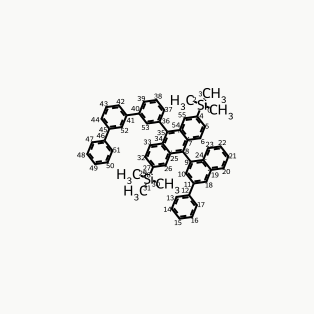 C[Si](C)(C)c1ccc2c(-c3cc(-c4ccccc4)cc4ccccc34)c3cc([Si](C)(C)C)ccc3c(-c3cccc(-c4cccc(-c5ccccc5)c4)c3)c2c1